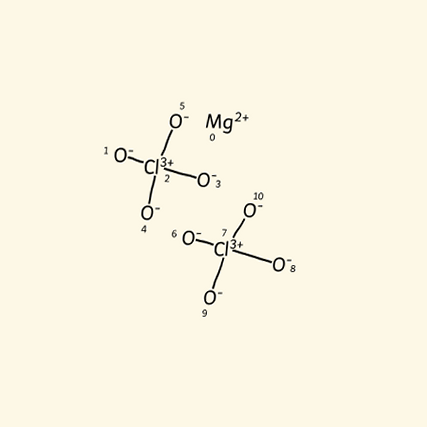 [Mg+2].[O-][Cl+3]([O-])([O-])[O-].[O-][Cl+3]([O-])([O-])[O-]